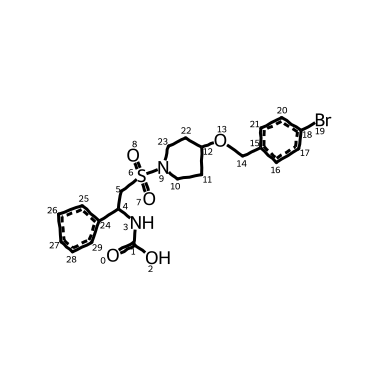 O=C(O)NC(CS(=O)(=O)N1CCC(OCc2ccc(Br)cc2)CC1)c1ccccc1